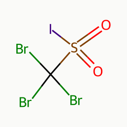 O=S(=O)(I)C(Br)(Br)Br